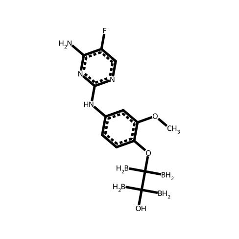 BC(B)(O)C(B)(B)Oc1ccc(Nc2ncc(F)c(N)n2)cc1OC